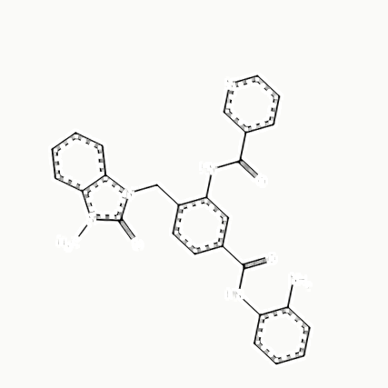 Cn1c(=O)n(Cc2ccc(C(=O)Nc3ccccc3N)cc2NC(=O)c2cccnc2)c2ccccc21